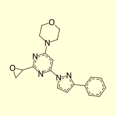 c1ccc(-c2ccn(-c3cc(N4CCOCC4)nc(C4CO4)n3)n2)cc1